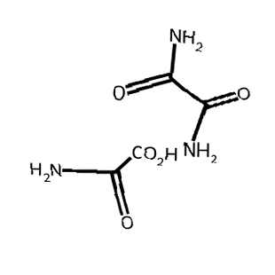 NC(=O)C(=O)O.NC(=O)C(N)=O